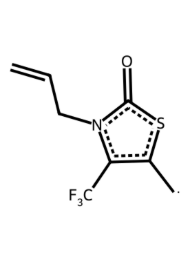 [CH2]c1sc(=O)n(CC=C)c1C(F)(F)F